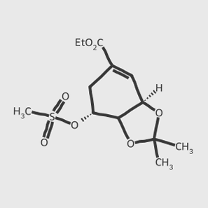 CCOC(=O)C1=C[C@H]2OC(C)(C)OC2[C@H](OS(C)(=O)=O)C1